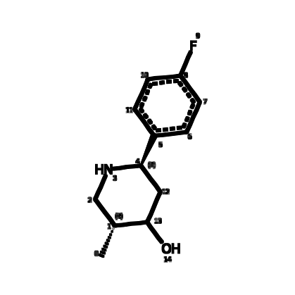 C[C@@H]1CN[C@@H](c2ccc(F)cc2)CC1O